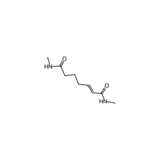 CNC(=O)/C=[C]/CCCC(=O)NC